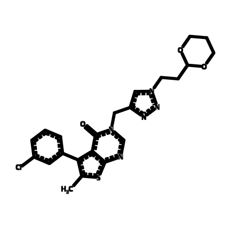 Cc1sc2ncn(Cc3cn(CCC4OCCCO4)nn3)c(=O)c2c1-c1cccc(Cl)c1